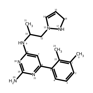 Cc1cccc(-c2cc(NC(C)CN3C=CCN3)nc(N)n2)c1C